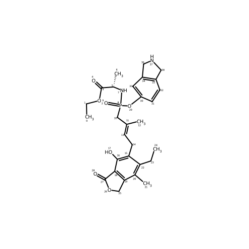 CCOC(=O)[C@H](C)NP(=O)(C/C(C)=C/Cc1c(O)c2c(c(C)c1CC)COC2=O)Oc1ccc2c(c1)CNC2